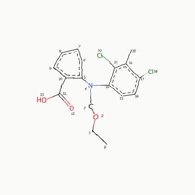 CCOCN(c1ccccc1C(=O)O)c1ccc(Cl)c(C)c1Cl